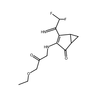 CCOCC(=O)CNC1=C(C(=N)C(F)F)C2CC2C1=O